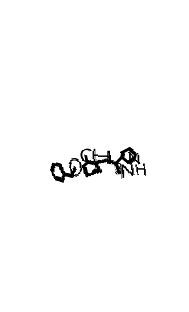 Cc1c(CC2CNc3ncccc32)cccc1OCc1ccccc1